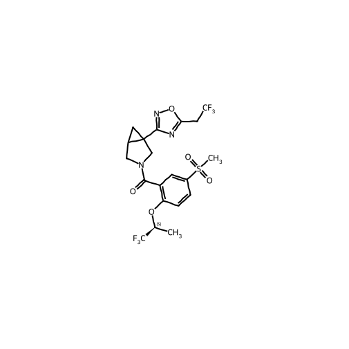 C[C@H](Oc1ccc(S(C)(=O)=O)cc1C(=O)N1CC2CC2(c2noc(CC(F)(F)F)n2)C1)C(F)(F)F